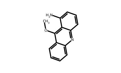 COc1c2ccccc2nc2cccc(N)c12